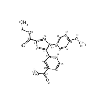 CCOC(=O)c1cc(-c2cc(C(=O)O)ccn2)n(-c2ccc(OC)nc2)n1